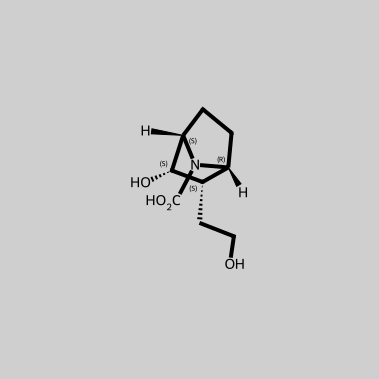 O=C(O)N1[C@@H]2CC[C@H]1[C@@H](O)[C@H]2CCO